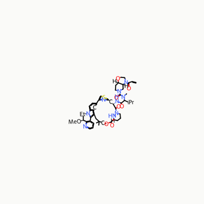 C=CC(=O)N1CCO[C@H]2CCN(C(=O)N(C)C(C(=O)N[C@H]3Cc4nc(cs4)-c4ccc5c(c4)c(c(-c4cccnc4[C@H](C)OC)n5CC)CC(C)(C)COC(=O)[C@@H]4CCCN(N4)C3=O)C(C)C)C[C@H]21